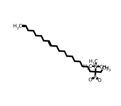 C=CCCCCCC=CCCCCCCCCCCC(CC)(P(=O)=O)[N+](C)(C)C